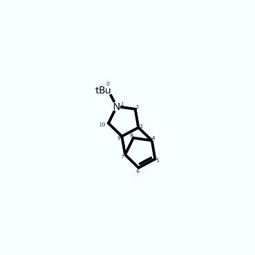 CC(C)(C)N1CC2C3C=CC(C3)C2C1